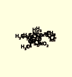 C/C=C/COP(=O)(OC/C=C/C)C1=C(C)NC(C)=C(C(=O)OCCN(C)Cc2ccccc2)C1c1cccc([N+](=O)[O-])c1